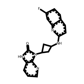 O=c1[nH]c2cccnc2n1C1CC(Nc2ccc3ccc(F)cc3n2)C1